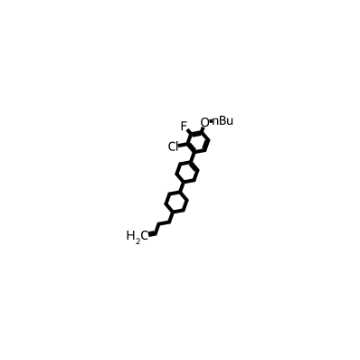 C=CCCC1CCC(C2CC=C(c3ccc(OCCCC)c(F)c3Cl)CC2)CC1